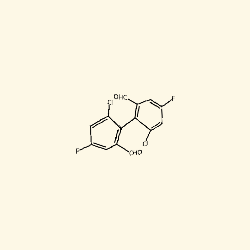 O=Cc1cc(F)cc(Cl)c1-c1c(Cl)cc(F)cc1C=O